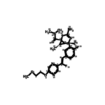 COCCOc1cnc(/C(F)=C/c2ccc(F)c([C@@]3(C)N=C(N)S[C@]4(C(=O)N(C)C)C3[C@@H]4C)c2)cn1